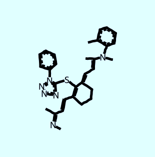 C/N=C(C)\C=C\C1=C(Sc2nnnn2-c2ccccc2)C(=C/C=C(\C)N(C)c2ccccc2C)/CCC1